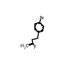 C=C(F)CCc1ccc(Br)cc1